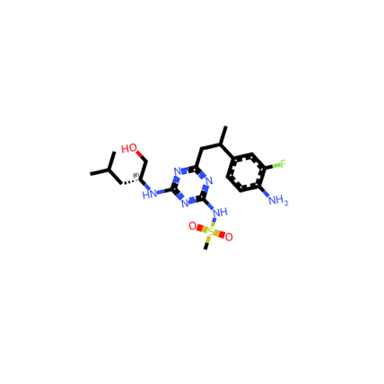 CC(C)C[C@H](CO)Nc1nc(CC(C)c2ccc(N)c(F)c2)nc(NS(C)(=O)=O)n1